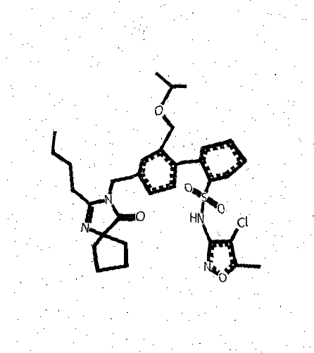 CCCCC1=NC2(CCCC2)C(=O)N1Cc1ccc(-c2ccccc2S(=O)(=O)Nc2noc(C)c2Cl)c(COC(C)C)c1